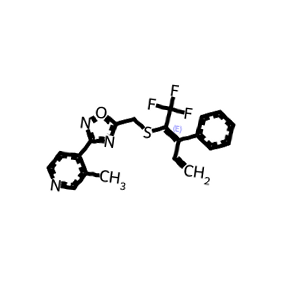 C=C/C(=C(\SCc1nc(-c2ccncc2C)no1)C(F)(F)F)c1ccccc1